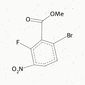 COC(=O)c1c(Br)ccc([N+](=O)[O-])c1F